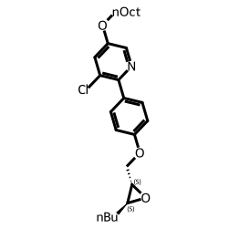 CCCCCCCCOc1cnc(-c2ccc(OC[C@@H]3O[C@H]3CCCC)cc2)c(Cl)c1